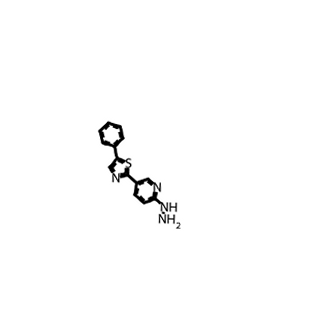 NNc1ccc(-c2ncc(-c3ccccc3)s2)cn1